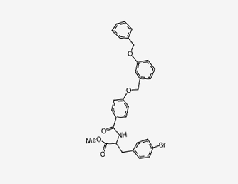 COC(=O)C(Cc1ccc(Br)cc1)NC(=O)c1ccc(OCc2cccc(OCc3ccccc3)c2)cc1